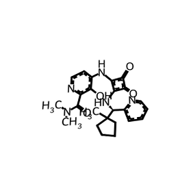 CN(C)C(=O)c1nccc(Nc2c(N[C@@H](c3ccccn3)C3(C)CCCC3)c(=O)c2=O)c1O